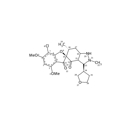 COc1cc(OC)c2c(c1Cl)O[C@]1(C2=O)C(=O)C2C(C[C@H]1C)NN(C)C2[C@H]1CCOC1